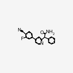 N#Cc1ccc(-c2ccnc(C(C(N)=O)c3ccccc3)c2)cc1F